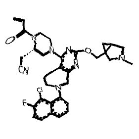 C=CC(=O)N1CCN(c2nc(OCC34CC3CN(C)C4)nc3c2CCN(c2cccc4ccc(F)c(Cl)c24)C3)C[C@@H]1CC#N